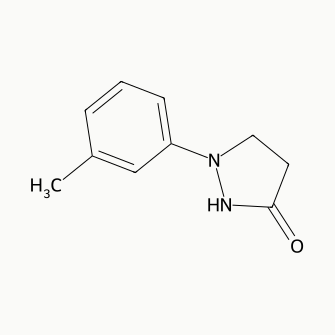 Cc1cccc(N2CCC(=O)N2)c1